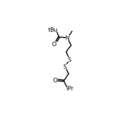 CC(C)C(=O)CSSCCN(C)C(=O)C(C)(C)C